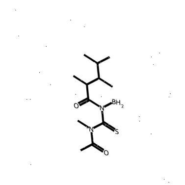 BN(C(=O)C(C)C(C)C(C)C)C(=S)N(C)C(C)=O